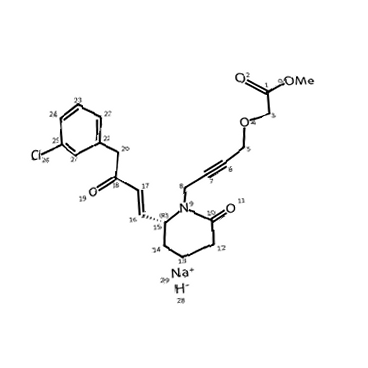 COC(=O)COCC#CCN1C(=O)CCC[C@@H]1C=CC(=O)Cc1cccc(Cl)c1.[H-].[Na+]